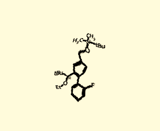 CCO[C@H](c1cc(CO[Si](C)(C)C(C)(C)C)ccc1-c1ccccc1F)C(C)(C)C